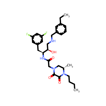 CCCCN1C(=O)C(=O)N(CC(=O)N[C@@H](Cc2cc(F)cc(F)c2)[C@H](O)CNCc2cccc(CC)c2)C[C@@H]1C